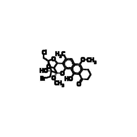 COc1c2c(c(O)c3c4c(c(C)cc13)C1OC3(CCl)OC1[C@@](OC)(O4)[C@@]3(O)CBr)C(=O)CCC2